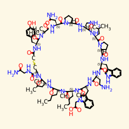 CCCC[C@H]1C(=O)N(C)[C@@H](CCCC)C(=O)N[C@@H](CC(C)C)C(=O)N[C@H](C(=O)NCC(N)=O)CSCC(=O)N[C@@H](Cc2ccc(O)cc2)C(=O)N(C)[C@@H](C)C(=O)N[C@@H](CC(N)=O)C(=O)N2CCC[C@H]2C(=O)N[C@@H](CN)C(=O)N[C@@H](CC(C)C)C(=O)N2CCC[C@H]2C(=O)N[C@@H](Cc2c[nH]c3ccccc23)C(=O)N[C@@H](CCN)C(=O)N[C@@H](Cc2cn(CC(=O)O)c3ccccc23)C(=O)N1C